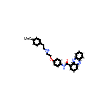 COc1ccc(CCNCCOc2ccc(NC(=O)c3cccc4nc5ccccc5nc34)cc2)cc1